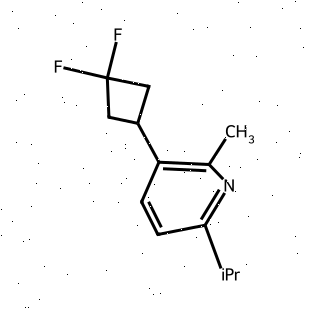 Cc1nc(C(C)C)ccc1C1CC(F)(F)C1